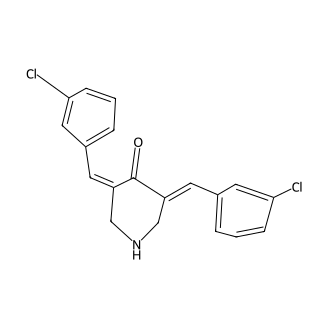 O=C1C(=Cc2cccc(Cl)c2)CNCC1=Cc1cccc(Cl)c1